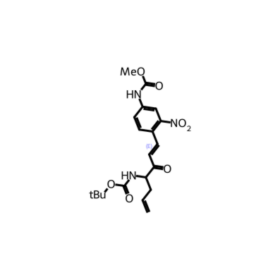 C=CCC(NC(=O)OC(C)(C)C)C(=O)/C=C/c1ccc(NC(=O)OC)cc1[N+](=O)[O-]